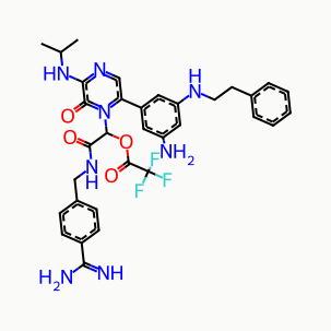 CC(C)Nc1ncc(-c2cc(N)cc(NCCc3ccccc3)c2)n(C(OC(=O)C(F)(F)F)C(=O)NCc2ccc(C(=N)N)cc2)c1=O